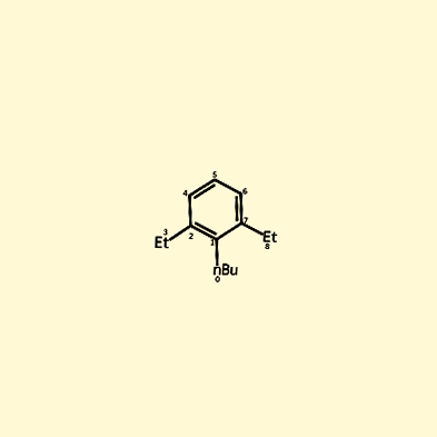 [CH2]CCCc1c(CC)cccc1CC